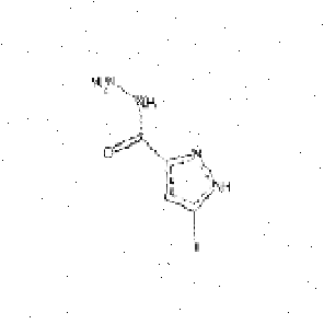 NNC(=O)c1cc(I)[nH]n1